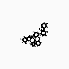 c1ccc2c(c1)Sc1c(-c3cccc4c3oc3ccccc34)cccc1C21c2ccccc2-n2c3ccccc3c3cccc1c32